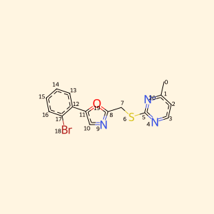 Cc1ccnc(SCc2ncc(-c3ccccc3Br)o2)n1